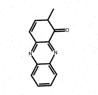 CC1C=Cc2nc3ccccc3nc2C1=O